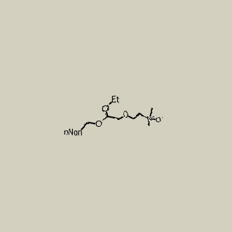 CCCCCCCCCCOC(COCC[N+](C)(C)[O-])OCC